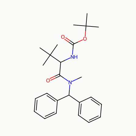 CN(C(=O)C(NC(=O)OC(C)(C)C)C(C)(C)C)C(c1ccccc1)c1ccccc1